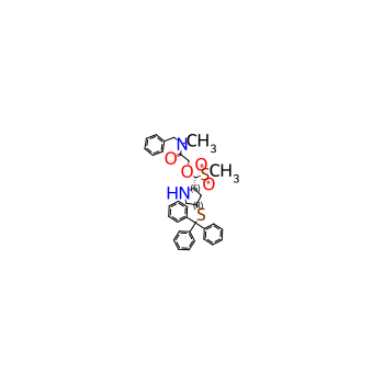 CN(Cc1ccccc1)C(=O)COC([C@@H]1C[C@@H](SC(c2ccccc2)(c2ccccc2)c2ccccc2)CN1)S(C)(=O)=O